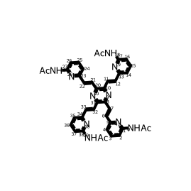 CC(=O)Nc1cccc(C=Cc2nc(C=Cc3cccc(NC(C)=O)n3)c(C=Cc3cccc(NC(C)=O)n3)nc2C=Cc2cccc(NC(C)=O)n2)n1